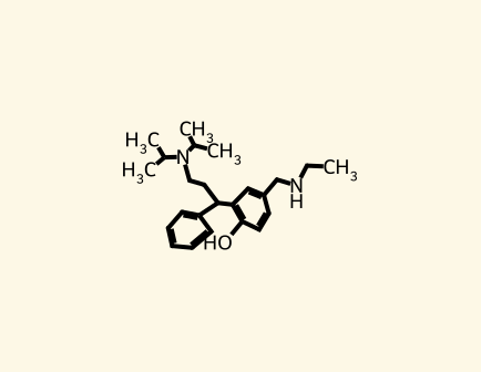 CCNCc1ccc(O)c(C(CCN(C(C)C)C(C)C)c2ccccc2)c1